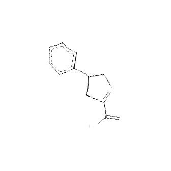 O=C(O)C1=NCC(c2ccccc2)C1